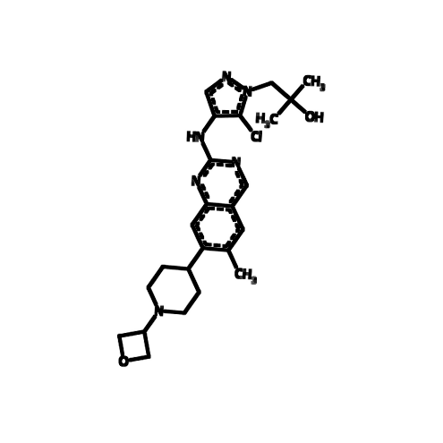 Cc1cc2cnc(Nc3cnn(CC(C)(C)O)c3Cl)nc2cc1C1CCN(C2COC2)CC1